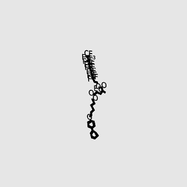 CCC(CC(C)C(=O)OCCC(F)(F)C(F)(F)C(F)(F)C(F)(F)C(F)(F)C(F)(F)C(F)(F)C(F)(F)F)C(=O)OCCCCCCOc1ccc(-c2ccccc2)cc1